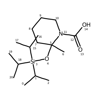 CC(C)[Si](OC1(C)CCCCN1C(=O)O)(C(C)C)C(C)C